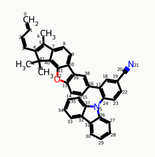 C=C/C=C\C1=C(C)c2ccc3c(oc4ccc(-c5cc(C#N)ccc5-n5c6ccccc6c6ccccc65)cc43)c2C1(C)C